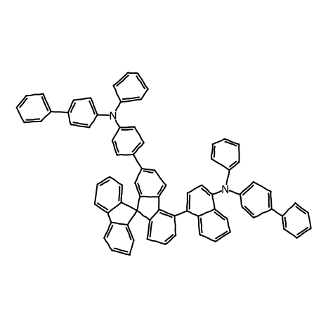 c1ccc(-c2ccc(N(c3ccccc3)c3ccc(-c4ccc5c(c4)C4(c6ccccc6-c6ccccc64)c4cccc(-c6ccc(N(c7ccccc7)c7ccc(-c8ccccc8)cc7)c7ccccc67)c4-5)cc3)cc2)cc1